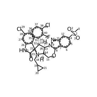 CS(=O)(=O)c1ccc2c3n(nc2c1)[C@H]1[C@@H](CO3)N(CC2CC2)[C@]2(C(=O)Nc3cc(Cl)ccc32)[C@@H]1c1cccc(Cl)c1F